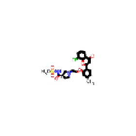 CS(=O)(=O)NC(=O)[C@@H]1CCN(CCOc2cc(C(F)(F)F)ccc2-c2cc(=O)c3cccc(Cl)c3o2)C1